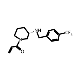 C=CC(=O)N1CCC[C@H](NCc2ccc(C(F)(F)F)cc2)C1